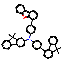 CC1(C)c2ccccc2-c2ccc(N(c3ccc(-c4cccc5c4-c4ccccc4C5(C)C)cc3)c3ccc(-c4cccc5c4oc4ccccc45)cc3)cc21